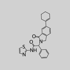 O=C(Nc1nccs1)C(c1ccccc1)N1Cc2ccc(C3=CCCCC3)cc2C1=O